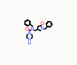 O=C1CC(CN(Cc2ccccc2)C(=O)N2CCNCC2)CN1Cc1ccccc1